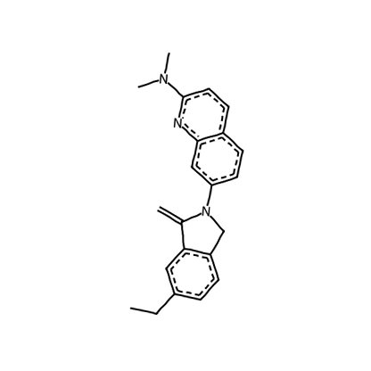 C=C1c2cc(CC)ccc2CN1c1ccc2ccc(N(C)C)nc2c1